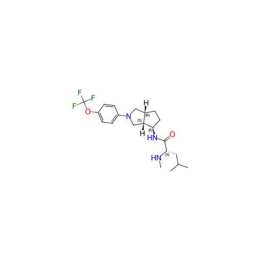 CN[C@@H](CC(C)C)C(=O)N[C@@H]1CC[C@H]2CN(c3ccc(OC(F)(F)F)cc3)C[C@H]21